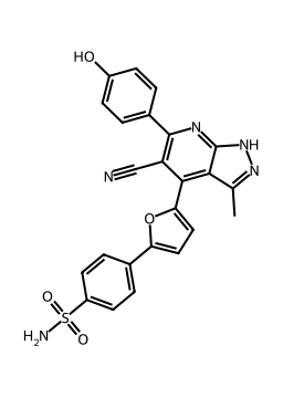 Cc1n[nH]c2nc(-c3ccc(O)cc3)c(C#N)c(-c3ccc(-c4ccc(S(N)(=O)=O)cc4)o3)c12